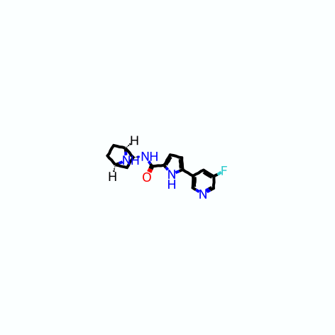 O=C(N[C@@H]1C[C@H]2CC[C@@H]1N2)c1ccc(-c2cncc(F)c2)[nH]1